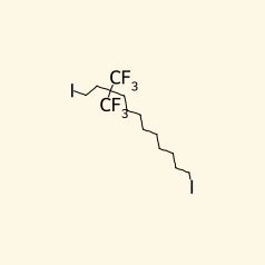 FC(F)(F)C(CCI)(CCCCCCCCCI)C(F)(F)F